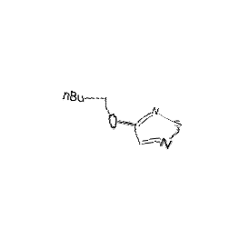 CCCCCOc1cnsn1